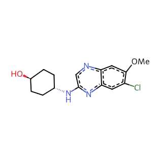 COc1cc2ncc(N[C@H]3CC[C@H](O)CC3)nc2cc1Cl